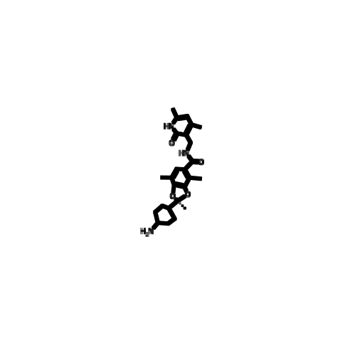 Cc1cc(C)c(CNC(=O)c2cc(C)c3c(c2C)O[C@@](C)(C2CCC(N)CC2)O3)c(=O)[nH]1